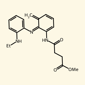 C=C1C=CC=C(NC(=O)CCC(=O)OC)/C1=N/c1ccccc1NCC